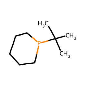 CC(C)(C)P1CCCCC1